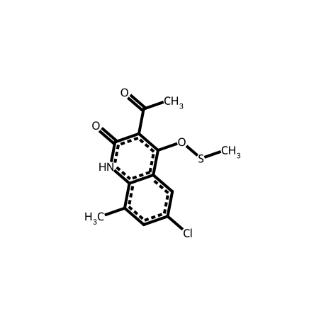 CSOc1c(C(C)=O)c(=O)[nH]c2c(C)cc(Cl)cc12